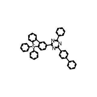 c1ccc(-c2ccc(-c3nc(-c4ccccc4)nc(-c4ccc5c(c4)-c4ccccc4S5(c4ccccc4)c4ccccc4)n3)cc2)cc1